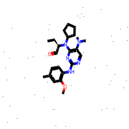 CC[C@H](C=O)N(c1nc(Nc2ccc(C)cc2OC)ncc1N(C)C)C1CCCC1